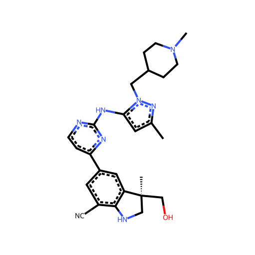 Cc1cc(Nc2nccc(-c3cc(C#N)c4c(c3)[C@@](C)(CO)CN4)n2)n(CC2CCN(C)CC2)n1